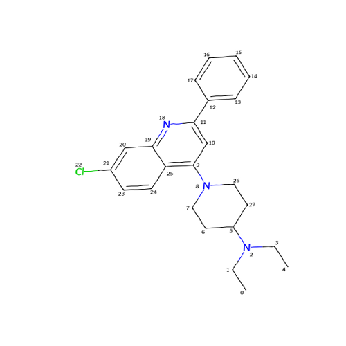 CCN(CC)C1CCN(c2cc(-c3ccccc3)nc3cc(Cl)ccc23)CC1